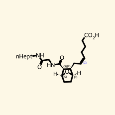 CCCCCCCNC(=O)CNC(=O)[C@H]1[C@@H](C/C=C\CCCC(=O)O)[C@H]2CC[C@@H]1O2